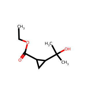 CCOC(=O)C1CC1C(C)(C)O